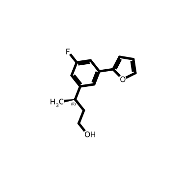 C[C@H](CCO)c1cc(F)cc(-c2ccco2)c1